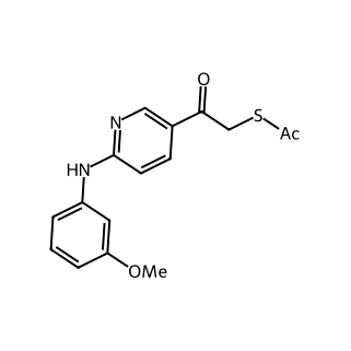 COc1cccc(Nc2ccc(C(=O)CSC(C)=O)cn2)c1